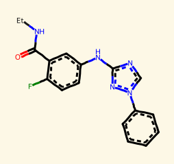 CCNC(=O)c1cc(Nc2ncn(-c3ccccc3)n2)ccc1F